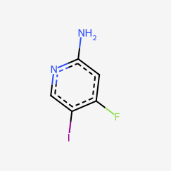 Nc1cc(F)c(I)cn1